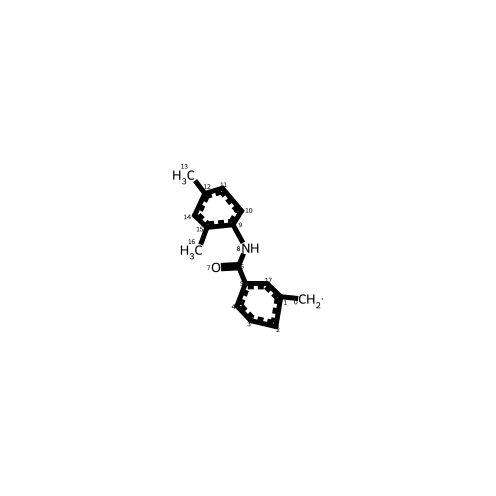 [CH2]c1cccc(C(=O)Nc2ccc(C)cc2C)c1